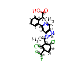 CC(C(=O)O)c1ccccc1-c1cc2c(cn1)ncn2[C@H](C)c1c(Cl)ccc(C(F)F)c1Cl